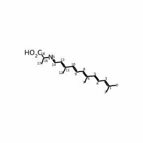 CC(C)=C/C=C/C(C)=C/C=C/C(C)=C/C=N/[C@@H](C)C(=O)O